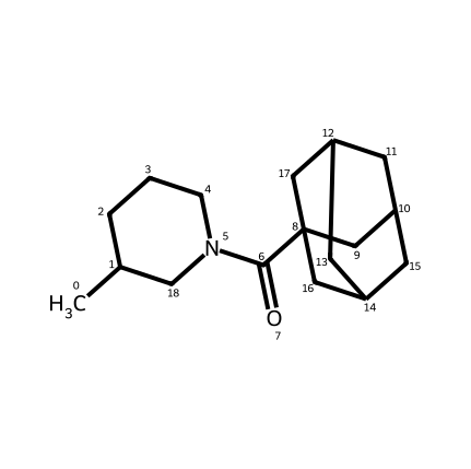 CC1CCCN(C(=O)C23CC4CC(CC(C4)C2)C3)C1